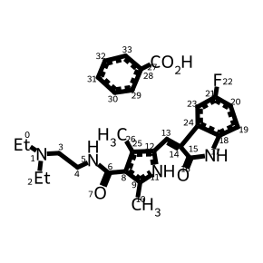 CCN(CC)CCNC(=O)c1c(C)[nH]c(C=C2C(=O)Nc3ccc(F)cc32)c1C.O=C(O)c1ccccc1